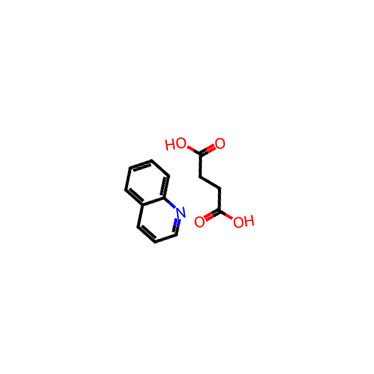 O=C(O)CCC(=O)O.c1ccc2ncccc2c1